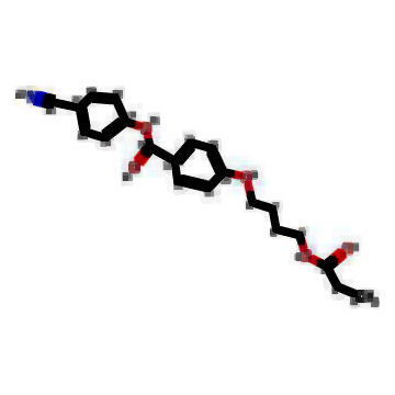 CCC(=O)OCCCCOc1ccc(C(=O)Oc2ccc(C#N)cc2)cc1